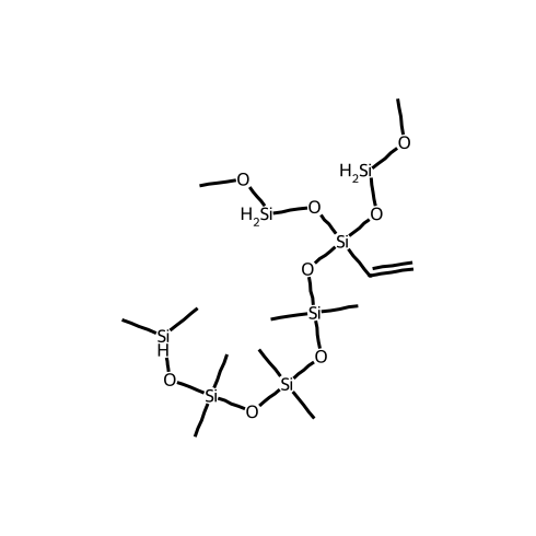 C=C[Si](O[SiH2]OC)(O[SiH2]OC)O[Si](C)(C)O[Si](C)(C)O[Si](C)(C)O[SiH](C)C